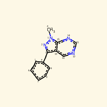 Cn1nc(-c2ccccc2)c2cncnc21